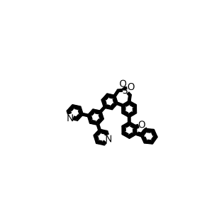 O=S1(=O)Cc2ccc(-c3cc(-c4cccnc4)cc(-c4cccnc4)c3)cc2-c2cc(-c3cccc4c3oc3ccccc34)ccc2C1